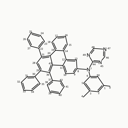 Cc1cc(C)cc(N(c2ccc3c(c2)c2ccccc2c2c(-c4ccccc4)cc(-c4ccccc4)c(-c4ccccc4)c32)c2ncncn2)c1